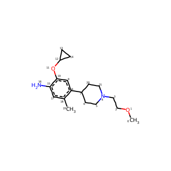 COCCN1CCC(c2cc(OC3CC3)c(N)cc2C)CC1